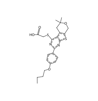 CCCCOc1ccc(-c2nc(SCC(=O)O)c3c4c(sc3n2)COC(C)(C)C4)cc1